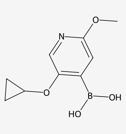 COc1cc(B(O)O)c(OC2CC2)cn1